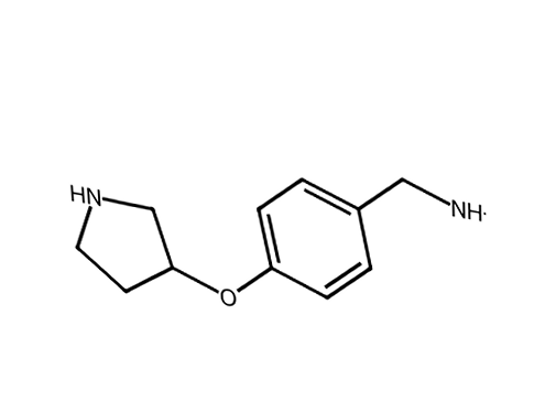 [NH]Cc1ccc(OC2CCNC2)cc1